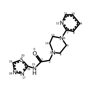 O=C(CN1CCN(c2ccccn2)CC1)Nc1nncs1